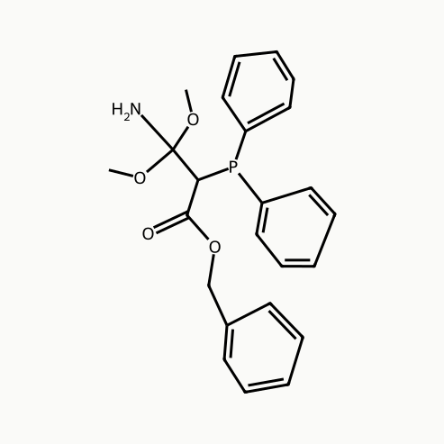 COC(N)(OC)C(C(=O)OCc1ccccc1)P(c1ccccc1)c1ccccc1